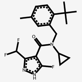 Cc1ccc(C(C)(C)C)c(CN(C(=O)c2c(C(F)F)n[nH]c2F)C2CC2)c1